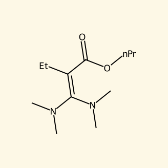 CCCOC(=O)C(CC)=C(N(C)C)N(C)C